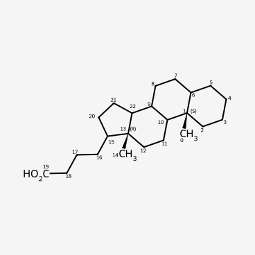 C[C@]12CCCCC1CCC1C2CC[C@]2(C)C(CCCC(=O)O)CCC12